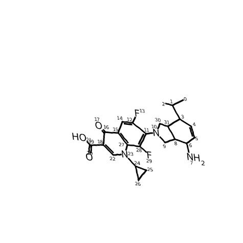 CC(C)C1C=CC(N)C2CN(c3c(F)cc4c(=O)c(C(=O)O)cn(C5CC5)c4c3F)CC12